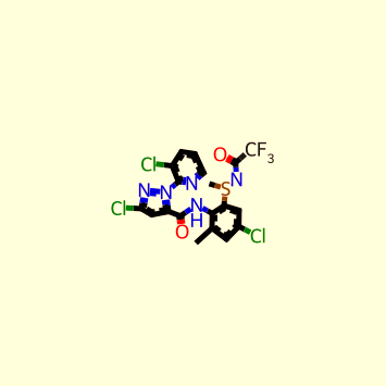 Cc1cc(Cl)cc(/S(C)=N/C(=O)C(F)(F)F)c1NC(=O)c1cc(Cl)nn1-c1ncccc1Cl